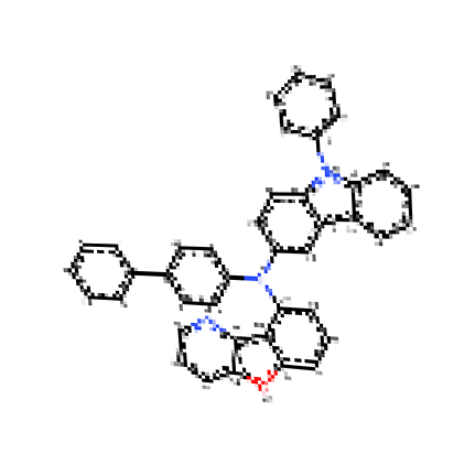 c1ccc(-c2ccc(N(c3ccc4c(c3)c3ccccc3n4-c3ccccc3)c3cccc4oc5cccnc5c34)cc2)cc1